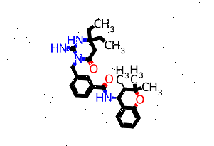 CCC1(CC)CC(=O)N(Cc2cccc(C(=O)N[C@@H]3c4ccccc4OC(C)(C)[C@H]3C)c2)C(=N)N1